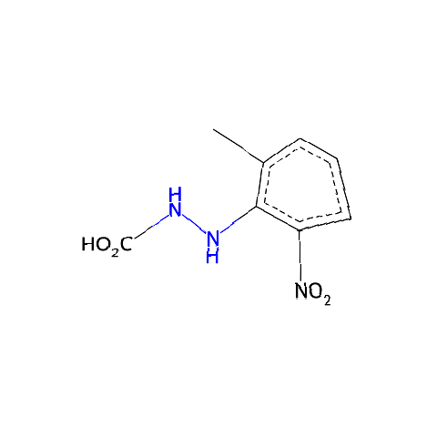 Cc1cccc([N+](=O)[O-])c1NNC(=O)O